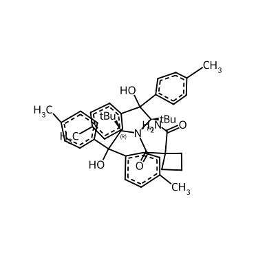 Cc1ccc(C(O)(c2ccc(C)cc2)[C@H](N(C(=O)C2(C(N)=O)CCC2)[C@H](C(C)(C)C)C(O)(c2ccc(C)cc2)c2ccc(C)cc2)C(C)(C)C)cc1